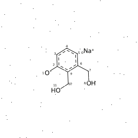 [Na+].[O-]c1cccc(CO)c1CO